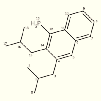 CC(C)Cc1cc2ccccc2c(P)c1CC(C)C